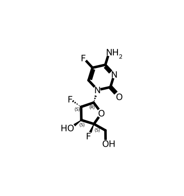 Nc1nc(=O)n([C@@H]2O[C@](F)(CO)[C@@H](O)[C@@H]2F)cc1F